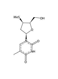 CS[C@@H]1C[C@H](n2cc(C)c(=O)[nH]c2=O)O[C@@H]1CO